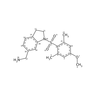 COc1cc(C)c(S(=O)(=O)N2CCc3ccc(CN)cc32)c(C)c1